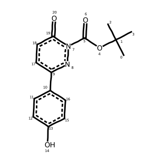 CC(C)(C)OC(=O)n1nc(-c2ccc(O)cc2)ccc1=O